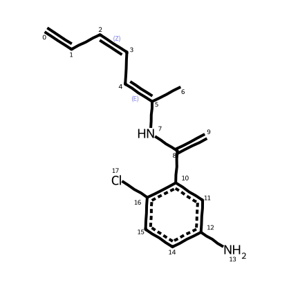 C=C/C=C\C=C(/C)NC(=C)c1cc(N)ccc1Cl